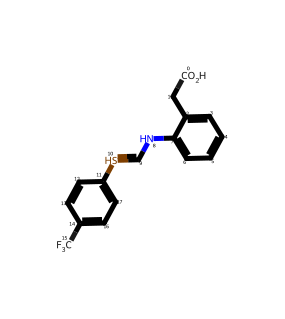 O=C(O)Cc1ccccc1NC=[SH]c1ccc(C(F)(F)F)cc1